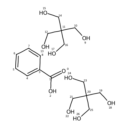 O=C(O)c1ccccc1.OCC(CO)(CO)CO.OCC(CO)(CO)CO